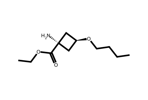 CCCCO[C@H]1C[C@@](N)(C(=O)OCC)C1